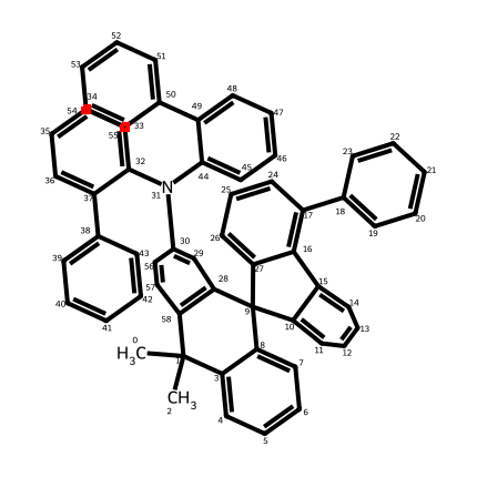 CC1(C)c2ccccc2C2(c3ccccc3-c3c(-c4ccccc4)cccc32)c2cc(N(c3ccccc3-c3ccccc3)c3ccccc3-c3ccccc3)ccc21